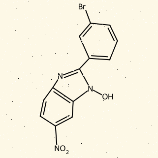 O=[N+]([O-])c1ccc2nc(-c3cccc(Br)c3)n(O)c2c1